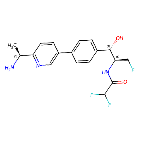 C[C@H](N)c1ccc(-c2ccc([C@H](O)[C@@H](CF)NC(=O)C(F)F)cc2)cn1